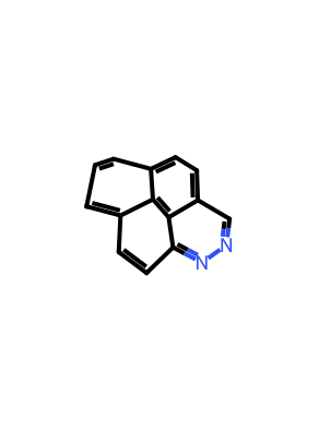 c1cc2ccc3cnnc4ccc(c1)c2c34